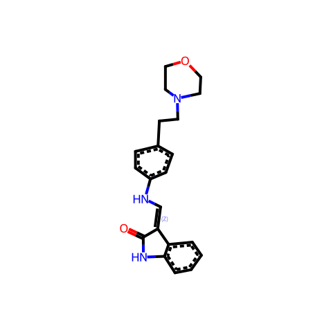 O=C1Nc2ccccc2/C1=C/Nc1ccc(CCN2CCOCC2)cc1